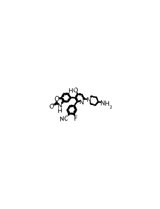 N#Cc1ccc(-c2nc(N3CCC(N)CC3)cc(O)c2-c2ccc3oc(=O)[nH]c3c2)cc1F